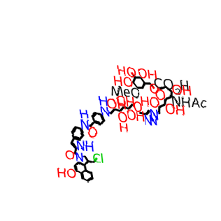 COC1CC(COC2(C(=O)O)CC(O)C(NC(C)=O)C(C(O)C(O)Cn3cc(COCC(O)C(O)C(O)C(O)CNc4ccc(C(=O)Nc5ccc6cc(C(=O)N7CC(CCl)c8c7cc(O)c7ccccc87)[nH]c6c5)cc4)nn3)O2)C(O)C(O)C1O